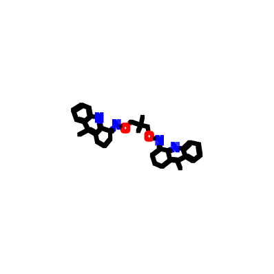 Cc1c2c(nc3ccccc13)/C(=N/OCC(C)(C)CO/N=C1\CCCc3c1nc1ccccc1c3C)CCC2